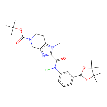 Cn1c(C(=O)N(Cl)c2cccc(B3OC(C)(C)C(C)(C)O3)c2)nc2c1CCN(C(=O)OC(C)(C)C)C2